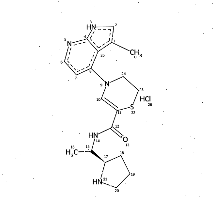 Cc1c[nH]c2nccc(N3C=C(C(=O)NC(C)[C@H]4CCCN4)SCC3)c12.Cl